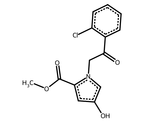 COC(=O)c1cc(O)cn1CC(=O)c1ccccc1Cl